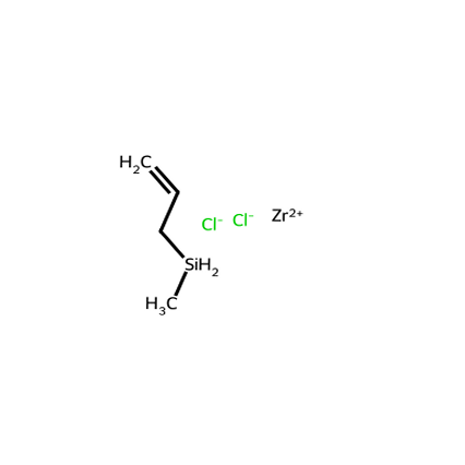 C=CC[SiH2]C.[Cl-].[Cl-].[Zr+2]